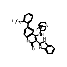 COc1ccccc1-c1ccc2[nH]c(=O)c(-c3nc4ccccc4[nH]3)c(N[C@H]3CN4CCC3CC4)c2c1